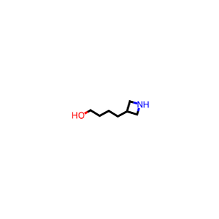 OCCCCC1CNC1